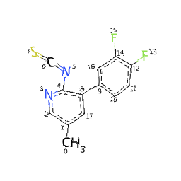 Cc1cnc(N=C=S)c(-c2ccc(F)c(F)c2)c1